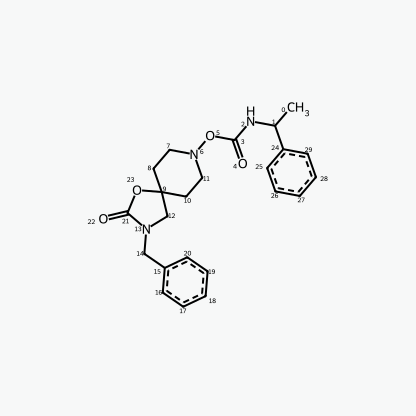 CC(NC(=O)ON1CCC2(CC1)CN(Cc1ccccc1)C(=O)O2)c1ccccc1